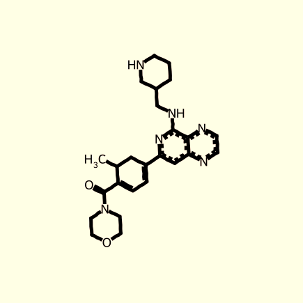 CC1CC(c2cc3nccnc3c(NCC3CCCNC3)n2)=CC=C1C(=O)N1CCOCC1